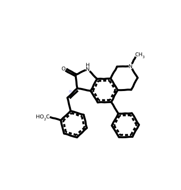 CN1CCc2c(-c3ccccc3)cc3c(c2C1)NC(=O)/C3=C/c1ccccc1C(=O)O